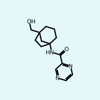 O=C(NC12CCCC(CO)(CC1)C2)c1cnccn1